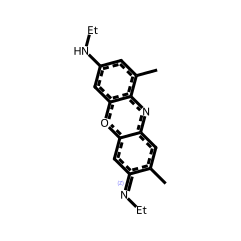 CC/N=c1/cc2oc3cc(NCC)cc(C)c3nc-2cc1C